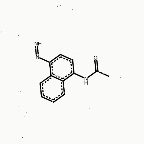 CC(=O)Nc1ccc(N=N)c2ccccc12